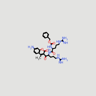 Cc1c(C(=O)C(CCCNC(=N)N)NC(=O)C(CCCNC(=N)N)NC(=O)OCc2ccccc2)c(=O)oc2cc(N)ccc12